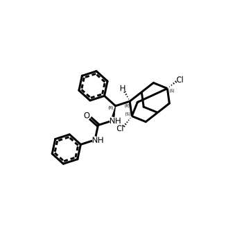 O=C(Nc1ccccc1)N[C@@H](c1ccccc1)[C@H]1C2CC3C[C@](Cl)(C2)C[C@@]1(Cl)C3